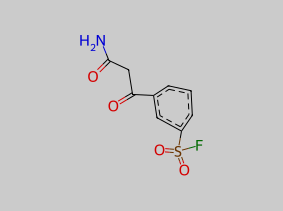 NC(=O)CC(=O)c1cccc(S(=O)(=O)F)c1